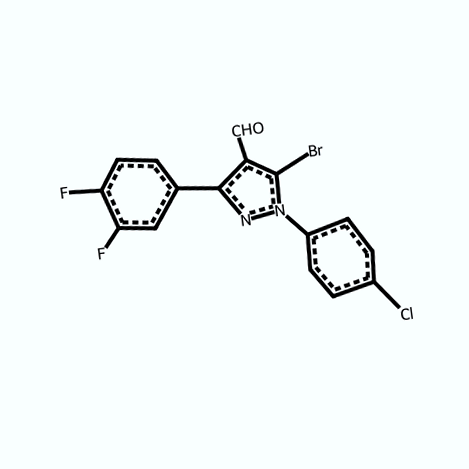 O=Cc1c(-c2ccc(F)c(F)c2)nn(-c2ccc(Cl)cc2)c1Br